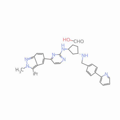 CC(C)c1c2cc(-c3ccnc(N[C@H]4CC[C@H](NCc5ccc(-c6ccccn6)cc5)C4)n3)ccc2nn1C.O=CO